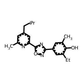 CCc1cc(-c2noc(-c3cc(CC(C)C)cc(C)n3)n2)cc(C)c1O